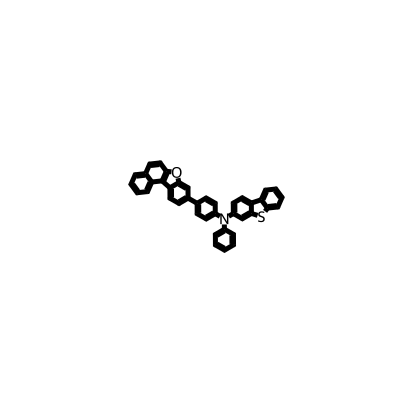 c1ccc(N(c2ccc(-c3ccc4c(c3)oc3ccc5ccccc5c34)cc2)c2ccc3c(c2)sc2ccccc23)cc1